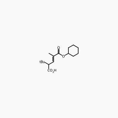 CC(=CC(C(=O)O)C(C)(C)C)C(=O)OC1CCCCC1